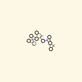 CC1=C(c2cccc(-n3c4ccccc4c4cc5c(cc43)-c3ccccc3C5(C)C)c2)c2ccc3c(c2-c2ccccc2C1)-c1ccccc1C31C2=C(C=CCC2)c2ccccc21